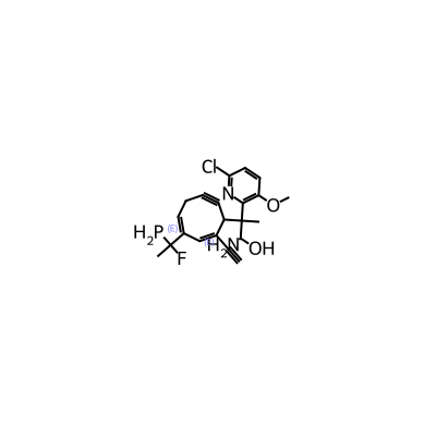 C#C/C1=C/C(C(C)(F)P)=C\CC#CC1C(C)(c1nc(Cl)ccc1OC)C(N)O